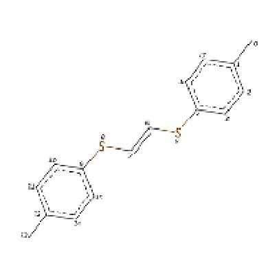 Cc1ccc(SC=CSc2ccc(C)cc2)cc1